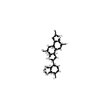 Cc1cc2c(s1)c(C)cc1c3cc(-c4ccc(C)c5nsnc45)sc3c(C)cc21